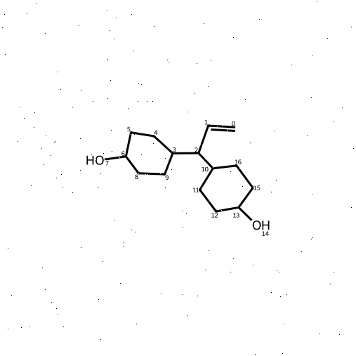 C=CC(C1CCC(O)CC1)C1CCC(O)CC1